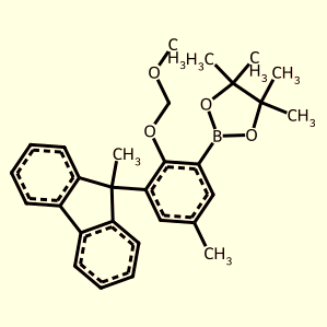 COCOc1c(B2OC(C)(C)C(C)(C)O2)cc(C)cc1C1(C)c2ccccc2-c2ccccc21